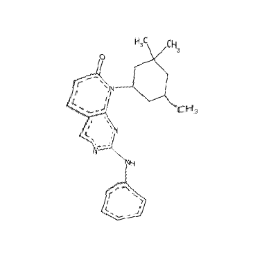 CC1CC(n2c(=O)ccc3cnc(Nc4ccccc4)nc32)CC(C)(C)C1